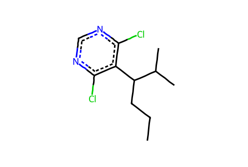 CCCC(c1c(Cl)ncnc1Cl)C(C)C